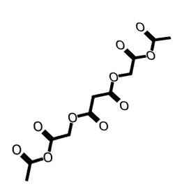 CC(=O)OC(=O)COC(=O)CC(=O)OCC(=O)OC(C)=O